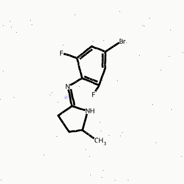 CC1CC/C(=N/c2c(F)cc(Br)cc2F)N1